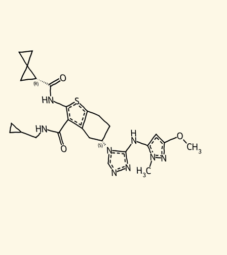 COc1cc(Nc2nncn2[C@H]2CCc3sc(NC(=O)[C@@H]4CC45CC5)c(C(=O)NCC4CC4)c3C2)n(C)n1